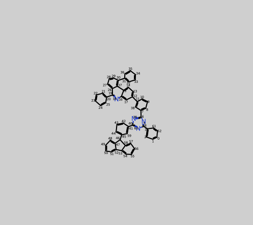 c1ccc(-c2nc(-c3cccc(-c4ccc5c(c4)nc(-c4ccccc4)c4cccc(-c6ccccc6)c45)c3)nc(-c3cccc(C4c5ccccc5-c5ccccc54)c3)n2)cc1